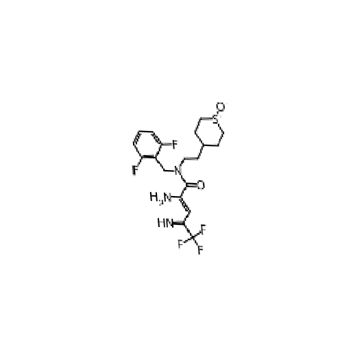 N=C(/C=C(\N)C(=O)N(CCC1CC[S+]([O-])CC1)Cc1c(F)cccc1F)C(F)(F)F